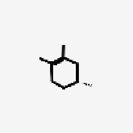 [CH2][C@@H]1CCC(C)=C(C)C1